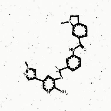 C[C@@H](Oc1cc(-c2cnn(C)c2)cnc1N)c1cccc(NC(=O)c2ccc3c(c2)N(C)CC3)c1